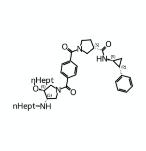 CCCCCCCN[C@H]1CN(C(=O)c2ccc(C(=O)N3CC[C@H](C(=O)N[C@H]4C[C@@H]4c4ccccc4)C3)cc2)C[C@@H]1OCCCCCCC